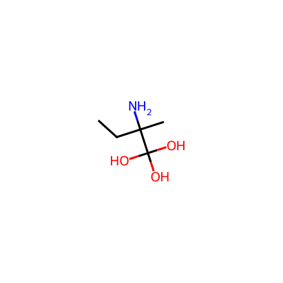 CCC(C)(N)C(O)(O)O